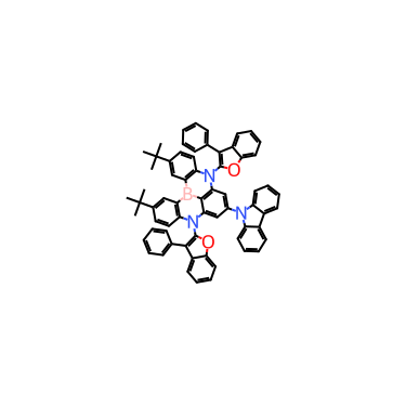 CC(C)(C)c1ccc2c(c1)B1c3cc(C(C)(C)C)ccc3N(c3oc4ccccc4c3-c3ccccc3)c3cc(-n4c5ccccc5c5ccccc54)cc(c31)N2c1oc2ccccc2c1-c1ccccc1